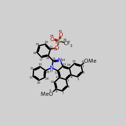 COc1ccc2c3ccc(OC)cc3c3c(nc(-c4ccccc4OS(=O)(=O)C(F)(F)F)n3-c3ccccc3)c2c1